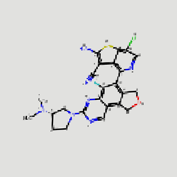 CN(C)[C@H]1CCN(c2ncc3c4c(c(-c5ncc(Cl)c6sc(N)c(C#N)c56)c(F)c3n2)COC4)C1